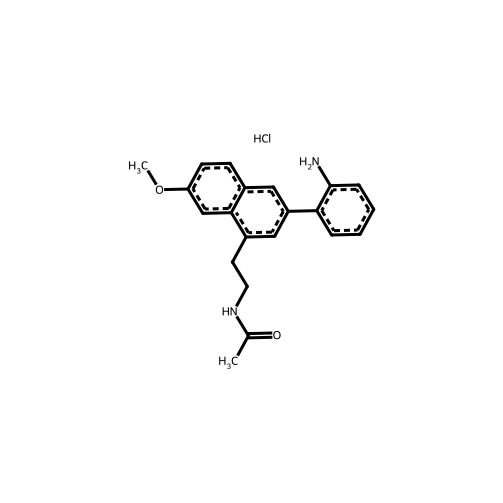 COc1ccc2cc(-c3ccccc3N)cc(CCNC(C)=O)c2c1.Cl